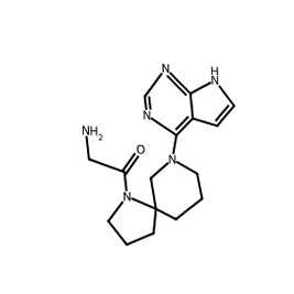 NCC(=O)N1CCCC12CCCN(c1ncnc3[nH]ccc13)C2